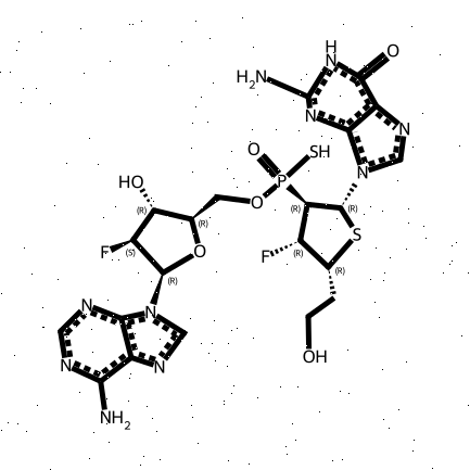 Nc1nc2c(ncn2[C@@H]2S[C@H](CCO)[C@H](F)[C@H]2P(=O)(S)OC[C@H]2O[C@@H](n3cnc4c(N)ncnc43)[C@@H](F)[C@@H]2O)c(=O)[nH]1